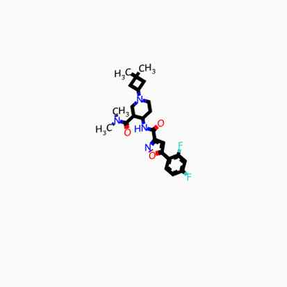 CN(C)C(=O)C1CN(C2CC(C)(C)C2)CCC1NC(=O)c1cc(-c2ccc(F)cc2F)on1